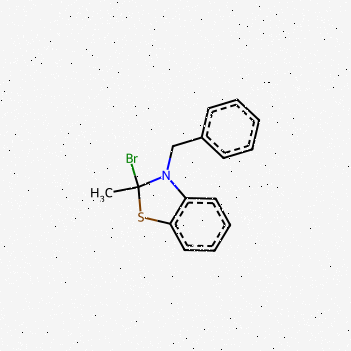 CC1(Br)Sc2ccccc2N1Cc1ccccc1